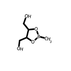 CB1OC(CO)C(CO)O1